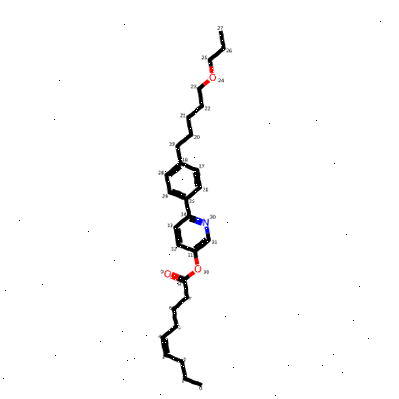 CCC/C=C\CCCC(=O)Oc1ccc(-c2ccc(CCCCCOCCC)cc2)nc1